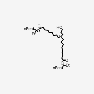 CCCCCC(CC)OC(=O)CCCCCCCCN(CCCO)CCCCCCCCC(=O)OC(CC)CCCCC